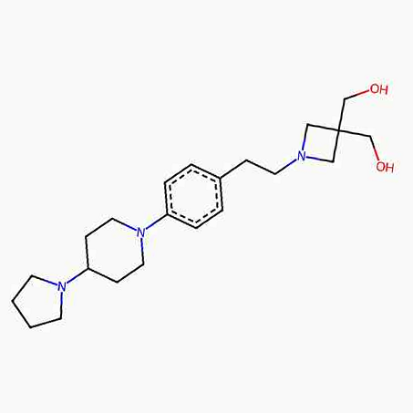 OCC1(CO)CN(CCc2ccc(N3CCC(N4CCCC4)CC3)cc2)C1